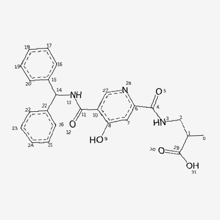 CC(CNC(=O)c1cc(O)c(C(=O)NC(c2ccccc2)c2ccccc2)cn1)C(=O)O